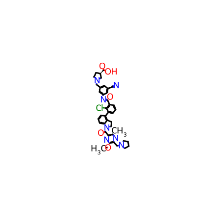 COc1nc(C(=O)N2CCc3c(-c4cccc(-c5nc6cc(CN7CC[C@@H](C(=O)O)C7)cc(C#N)c6o5)c4Cl)cccc32)c(C)nc1CN1CCCC1